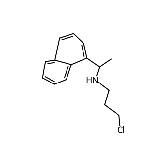 CC(NCCCCl)c1cccc2ccccc12